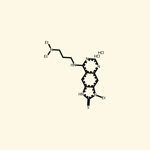 CCN(CC)CCCNc1ncnc2cc3c(cc12)[nH]c(=S)n3CC.Cl.Cl